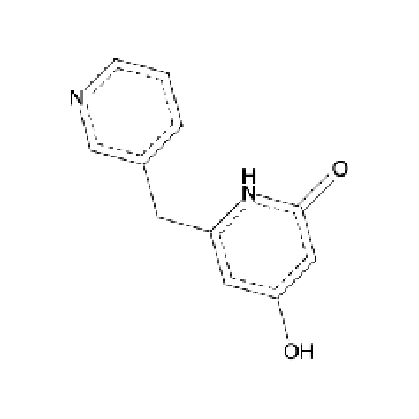 O=c1cc(O)cc(Cc2cccnc2)[nH]1